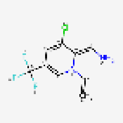 C=CN1C=C(C(F)(F)F)C=C(Cl)/C1=C/N